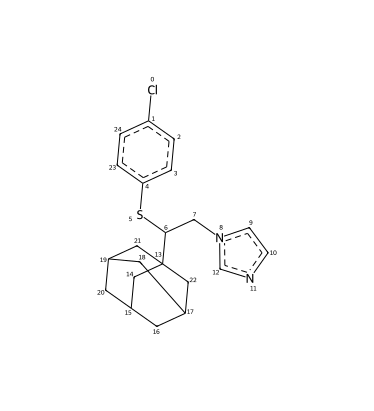 Clc1ccc(SC(Cn2ccnc2)C23CC4CC(CC(C4)C2)C3)cc1